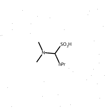 CCCC(N(C)C)S(=O)(=O)O